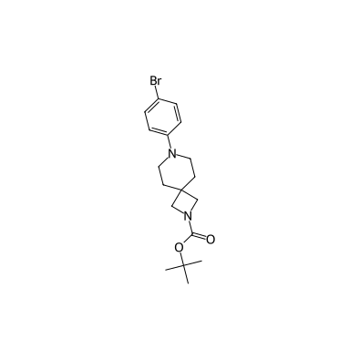 CC(C)(C)OC(=O)N1CC2(CCN(c3ccc(Br)cc3)CC2)C1